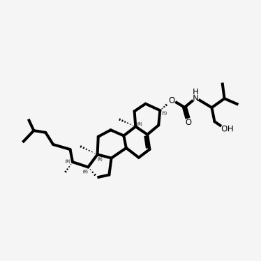 CC(C)CCC[C@@H](C)[C@H]1CCC2C3CC=C4C[C@@H](OC(=O)NC(CO)C(C)C)CC[C@]4(C)C3CC[C@@]21C